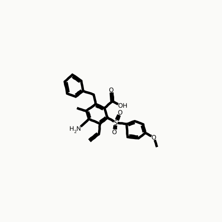 C=Cc1c(N)c(C)c(Cc2ccccc2)c(C(=O)O)c1S(=O)(=O)c1ccc(OC)cc1